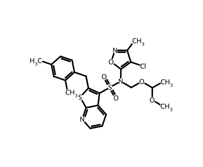 COC(C)OCN(c1onc(C)c1Cl)S(=O)(=O)c1c(Cc2ccc(C)cc2C)sc2ncccc12